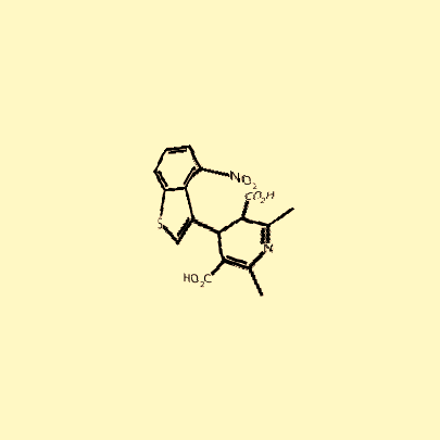 CC1=NC(C)=C(C(=O)O)C(c2csc3cccc([N+](=O)[O-])c23)C1C(=O)O